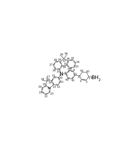 BC1C=CC(c2ccc(N(c3ccc4c(c3)C(C)(C)c3ccccc3-4)c3cccc4c3-c3ccccc3C4(C)C)cc2)CC1